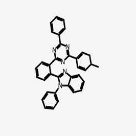 CC1C=CC(c2nc(-c3ccccc3)nc(-c3ccccc3-c3nc4ccccc4n3-c3ccccc3)n2)=CC1